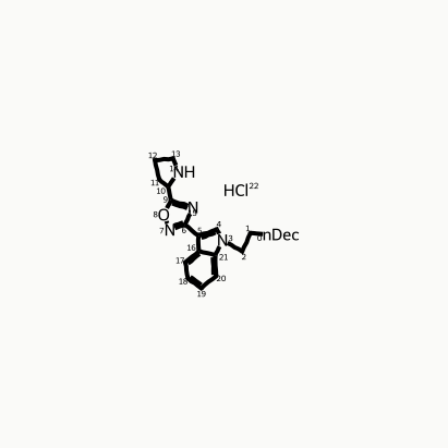 CCCCCCCCCCCCn1cc(-c2noc(C3CCCN3)n2)c2ccccc21.Cl